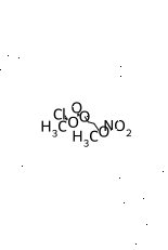 CC(Cl)OC(=O)OCCC(C)O[N+](=O)[O-]